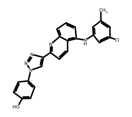 Cc1cc(Cl)cc(Nc2cccc3nc(-c4cn(-c5ccc(O)cc5)nn4)ccc23)c1